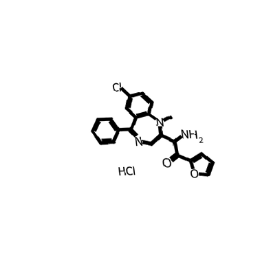 CN1c2ccc(Cl)cc2C(c2ccccc2)=NCC1C(N)C(=O)c1ccco1.Cl